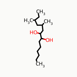 CCCCCCC(O)C(O)CC(C)CC(C)CC